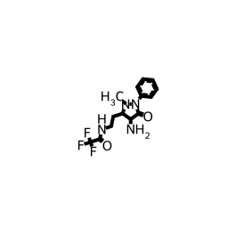 CN1C(CCNC(=O)C(F)(F)F)C(N)C(=O)N1c1ccccc1